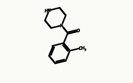 Cc1ccc[c]c1C(=O)N1CCNCC1